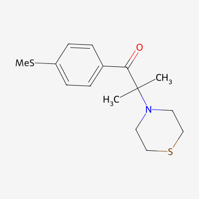 CSc1ccc(C(=O)C(C)(C)N2CCSCC2)cc1